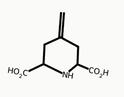 C=C1CC(C(=O)O)NC(C(=O)O)C1